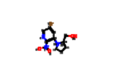 O=[N+]([O-])c1ncc(Br)cc1N1CCC[C@@H]1CO